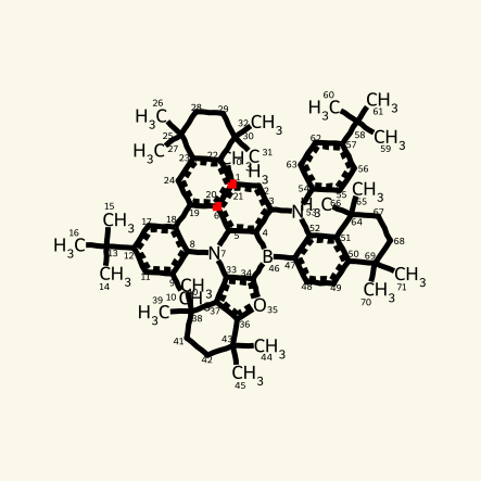 Cc1cc2c3c(c1)N(c1c(C)cc(C(C)(C)C)cc1-c1ccc4c(c1)C(C)(C)CCC4(C)C)c1c(oc4c1C(C)(C)CCC4(C)C)B3c1ccc3c(c1N2c1ccc(C(C)(C)C)cc1)C(C)(C)CCC3(C)C